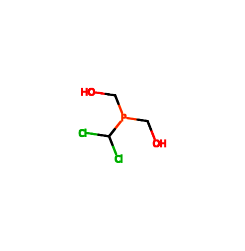 OCP(CO)C(Cl)Cl